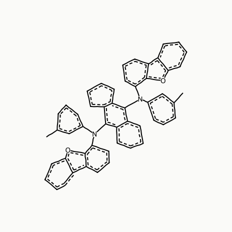 Cc1cccc(N(c2c3ccccc3c(N(c3cccc(C)c3)c3cccc4c3oc3ccccc34)c3ccccc23)c2cccc3c2oc2ccccc23)c1